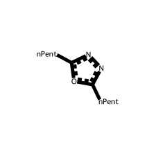 CCCCCc1nnc(CCCCC)o1